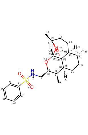 C[C@H]1[C@@H](CNS(=O)(=O)c2ccccc2)O[C@@H]2O[C@@]3(C)CC[C@H]4[C@H](C)CC[C@@H]1[C@@]24OO3